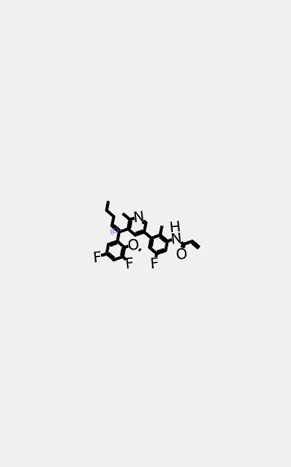 C=CC(=O)Nc1cc(F)cc(-c2cnc(C)c(/C(=C\CCC)c3cc(F)cc(F)c3OC)c2)c1C